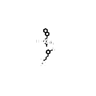 CCOC(=O)CCCc1ccc(OC[C@H](O)C[N+](C)(C)CCc2ccc3ccccc3c2)c(C#N)c1